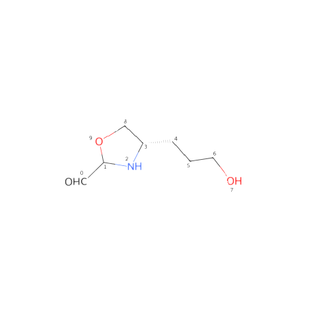 O=CC1N[C@@H](CCCO)CO1